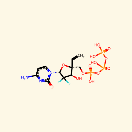 C=C[C@]1(COP(=O)(O)OP(=O)(O)OP(=O)(O)O)O[C@@H](n2ccc(N)nc2=O)C(F)(F)[C@@H]1O